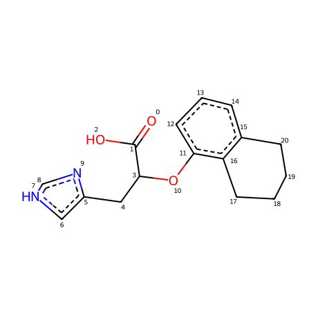 O=C(O)C(Cc1c[nH]cn1)Oc1cccc2c1CCCC2